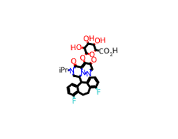 CC(C)N1CC(C2c3cccc(F)c3CCc3c(F)cccc32)n2ncc(=O)c(OC3OC(C(=O)O)C(O)C(O)C3O)c2C1=O